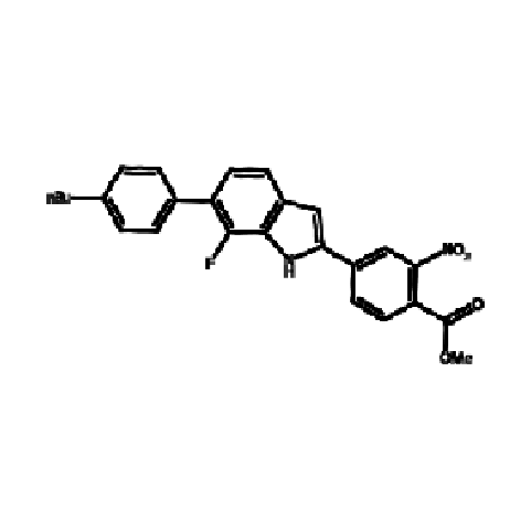 CCCCc1ccc(-c2ccc3cc(-c4ccc(C(=O)OC)c([N+](=O)[O-])c4)[nH]c3c2F)cc1